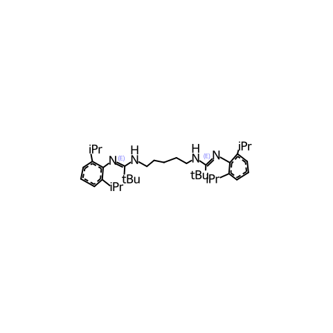 CC(C)c1cccc(C(C)C)c1/N=C(/NCCCCCN/C(=N/c1c(C(C)C)cccc1C(C)C)C(C)(C)C)C(C)(C)C